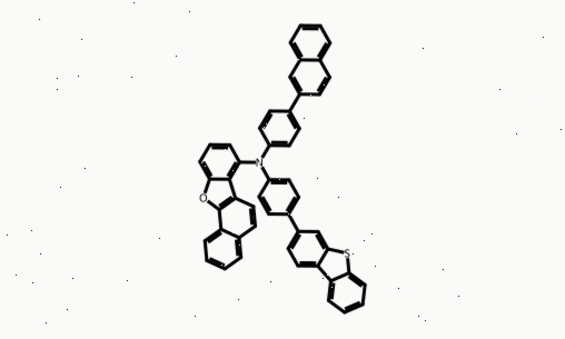 c1ccc2cc(-c3ccc(N(c4ccc(-c5ccc6c(c5)sc5ccccc56)cc4)c4cccc5oc6c7ccccc7ccc6c45)cc3)ccc2c1